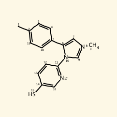 C.Cc1ccc(-c2cncn2-c2ccc(S)cn2)cc1